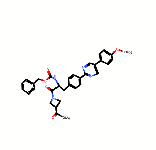 CCCCCCCOc1ccc(-c2cnc(-c3ccc(CC(NC(=O)OCc4ccccc4)C(=O)N4CC(C(=O)OC)C4)cc3)nc2)cc1